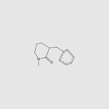 CN1CCCC(Cc2ccccc2)C1=O